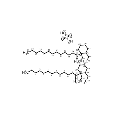 CCCCCCCCCCCCNC1(CC)CCCCC1CC.CCCCCCCCCCCCNC1(CC)CCCCC1CC.O=S(=O)(O)O